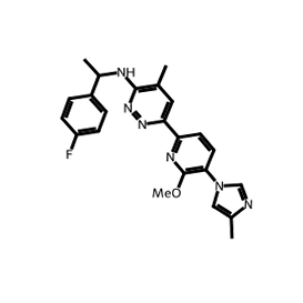 COc1nc(-c2cc(C)c(NC(C)c3ccc(F)cc3)nn2)ccc1-n1cnc(C)c1